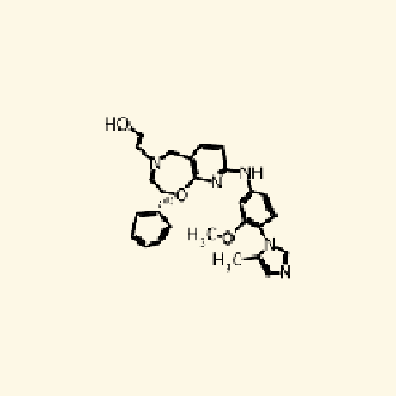 COc1cc(Nc2ccc3c(n2)O[C@H](c2ccccc2)CN(CCO)C3)ccc1-n1cncc1C